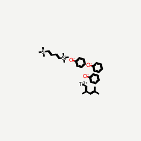 CC(C)=CC(C)=[CH][Ti+3].C[Si](C)(C)C=CC=C[Si](C)(C)C.[O-]c1ccccc1.[O-]c1ccccc1.[O-]c1ccccc1